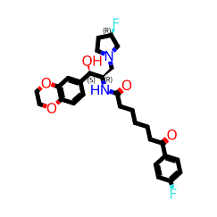 O=C(CCCCCC(=O)c1ccc(F)cc1)N[C@H](CN1CC[C@@H](F)C1)[C@@H](O)c1ccc2c(c1)OCCO2